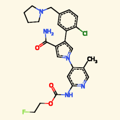 Cc1cnc(NC(=O)OCCF)cc1-n1cc(C(N)=O)c(-c2cc(CN3CCCC3)ccc2Cl)c1